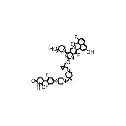 CCc1c(F)ccc2cc(O)cc(-c3ncc4c(N5CCC[C@@](C)(O)C5)nc(OCC5(CN6CCC(C)(CN7CCN(c8cc(F)c(C9CCC(=O)NC9=O)c(F)c8)CC7)CC6)CC5)nc4c3F)c12